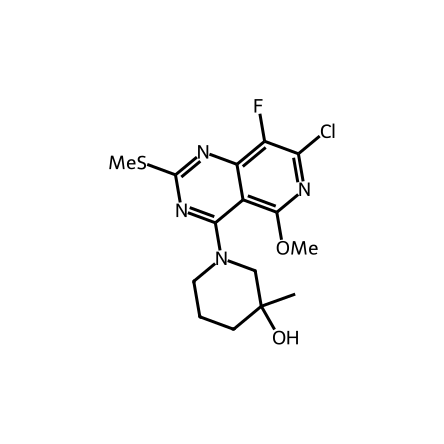 COc1nc(Cl)c(F)c2nc(SC)nc(N3CCCC(C)(O)C3)c12